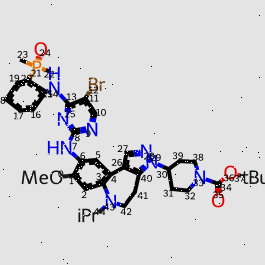 COc1cc2c(cc1Nc1ncc(Br)c(Nc3ccccc3P(C)(C)=O)n1)-c1cnn(C3CCN(C(=O)OC(C)(C)C)CC3)c1CCN2C(C)C